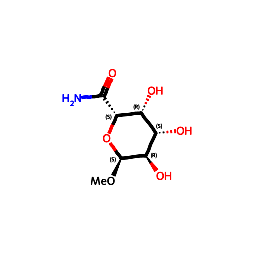 CO[C@H]1O[C@H](C(N)=O)[C@H](O)[C@H](O)[C@H]1O